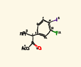 CCCC(C(=O)OC(C)=O)c1ccc(I)c(F)c1